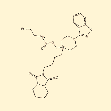 CC(C)CCNC(=O)OC[N+]1(CCCCN2C(=O)C3CCCCC3C2=O)CCN(c2nsc3ccccc23)CC1